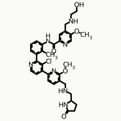 COc1cnc(C(=O)Nc2cccc(-c3nccc(-c4ccc(CNCC5CCC(=O)N5)c(OC)n4)c3Cl)c2C)cc1CNCCO